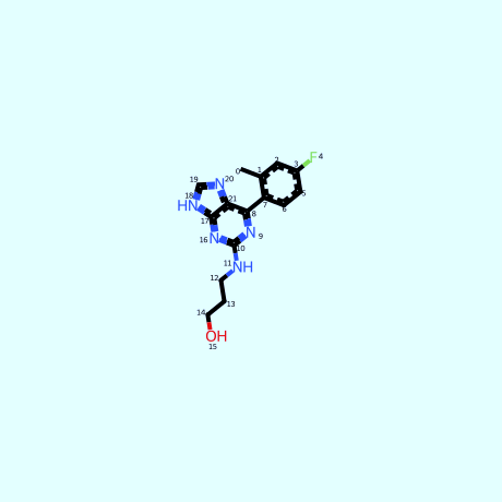 Cc1cc(F)ccc1-c1nc(NCCCO)nc2[nH]cnc12